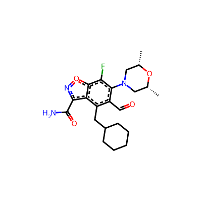 C[C@@H]1CN(c2c(C=O)c(CC3CCCCC3)c3c(C(N)=O)noc3c2F)C[C@H](C)O1